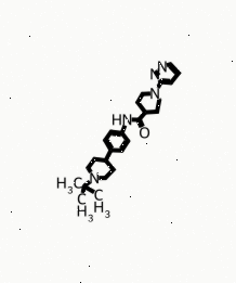 CC(C)(C)N1CCC(c2ccc(NC(=O)C3CCN(c4cccnn4)CC3)cc2)CC1